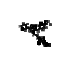 CC(C)(C)OC(=O)NCCCN(C[C@@H](O)c1cccnc1)C(=O)Cc1ccc(C(F)(F)F)nc1